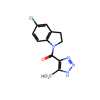 O=C(O)c1[nH]nnc1C(=O)N1CCc2cc(Cl)ccc21